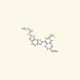 COc1cnc2c(-c3nc4ccc5c(c4s3)CC(CNC(=O)O)O5)cc(C)cc2n1